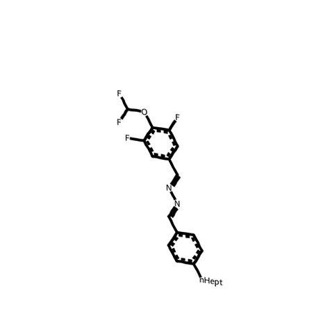 CCCCCCCc1ccc(/C=N/N=C/c2cc(F)c(OC(F)F)c(F)c2)cc1